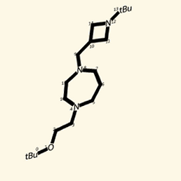 CC(C)(C)OCCN1CCCN(CC2CN(C(C)(C)C)C2)CC1